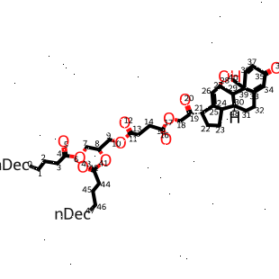 CCCCCCCCCCCCCC(=O)OCC(COC(=O)CCC(=O)OCC(=O)[C@H]1CCC2C1=CC(O)C1[C@H]2CCC2=CC(=O)C=CC21C)OC(=O)CCCCCCCCCCCCC